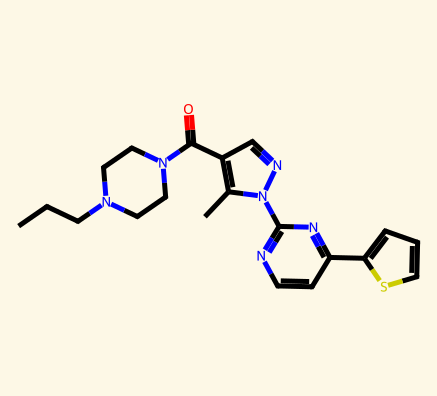 CCCN1CCN(C(=O)c2cnn(-c3nccc(-c4cccs4)n3)c2C)CC1